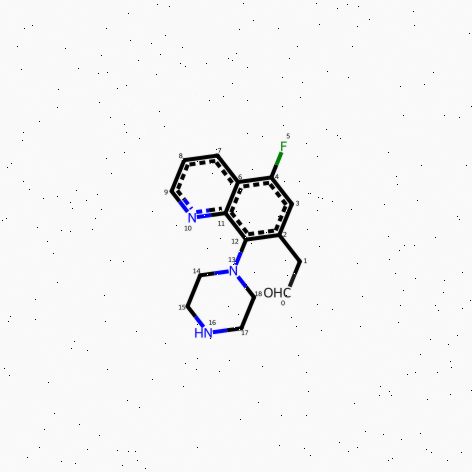 O=CCc1cc(F)c2cccnc2c1N1CCNCC1